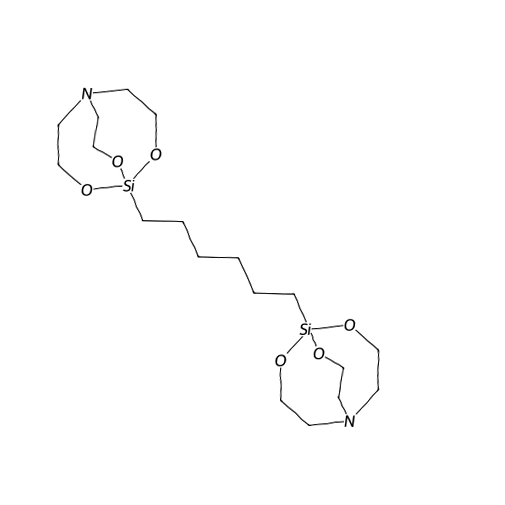 C(CCC[Si]12OCCN(CCO1)CCO2)CC[Si]12OCCN(CCO1)CCO2